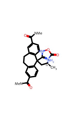 CNC(=O)c1ccc2c(c1)CCc1cc(C(=O)NC)ccc1C2(C[C@H](C)N)c1nc(=O)o[nH]1